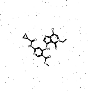 CCn1cc(Cl)c2scc(Nc3cc(NC(=O)C4CC4)ncc3C(=O)OC)c2c1=O